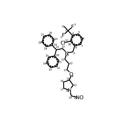 CC(F)(F)c1cccc(CN(CCCOC2CCN(CN=O)C2)CC(c2ccccc2)c2ccccc2)c1Cl